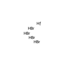 Br.Br.Br.Br.[Hf]